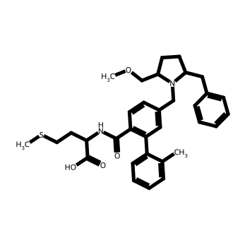 COCC1CCC(Cc2ccccc2)N1Cc1ccc(C(=O)NC(CCSC)C(=O)O)c(-c2ccccc2C)c1